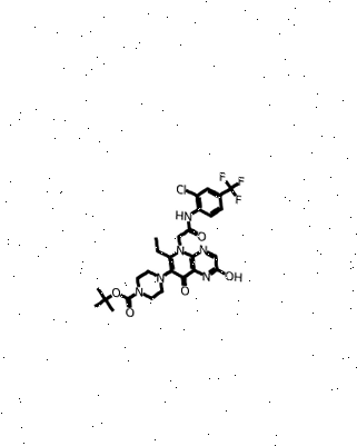 CCc1c(N2CCN(C(=O)OC(C)(C)C)CC2)c(=O)c2nc(O)cnc2n1CC(=O)Nc1ccc(C(F)(F)F)cc1Cl